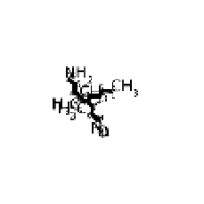 CCCCCC(C)(CCCN=O)C(C)(C)CCCN